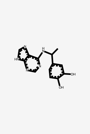 CC(Nc1ncnc2[nH]cnc12)c1ccc(O)c(O)c1